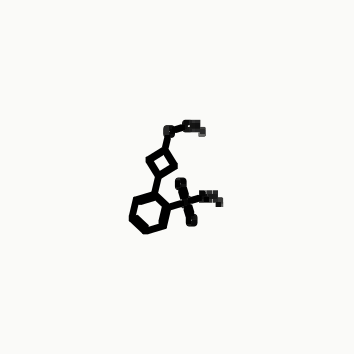 COC1CC(c2ccccc2S(N)(=O)=O)C1